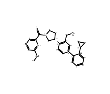 CNc1cncc(C(=O)N2CC[C@H](c3ccc(-c4ccccc4C4CC4)cc3CO)C2)n1